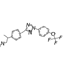 CC(CN)c1ccc(-c2ncn(-c3ccc(OC(F)(F)F)cc3)n2)cc1